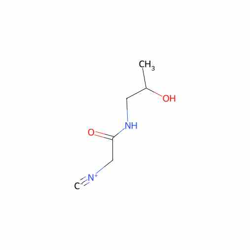 [C-]#[N+]CC(=O)NCC(C)O